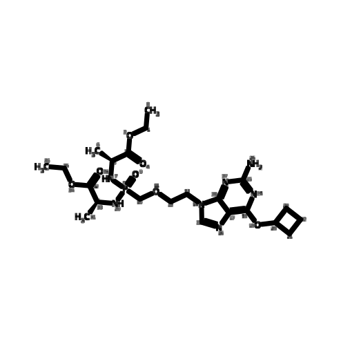 CCOC(=O)[C@H](C)NP(=O)(COCCn1cnc2c(OC3CCC3)nc(N)nc21)N[C@@H](C)C(=O)OCC